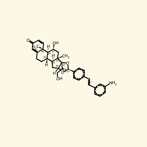 C[C@]12C=CC(=O)C=C1CC[C@@H]1[C@@H]2[C@@H](O)C[C@@]2(C)[C@H]1C[C@H]1O[C@H](c3ccc(/C=C/c4cccc(N)c4)cc3)O[C@]12C(=O)CO